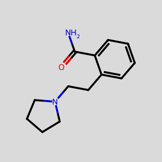 NC(=O)c1ccccc1CCN1CCCC1